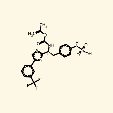 C=C(C)OC(=O)N[C@@H](Cc1ccc(NS(=O)(=O)O)cc1)c1nc(-c2cccc(C(F)(F)F)c2)cs1